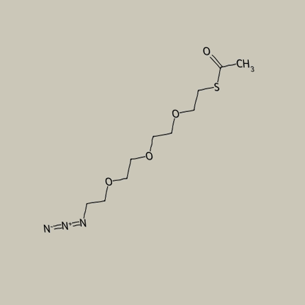 CC(=O)SCCOCCOCCOCCN=[N+]=[N-]